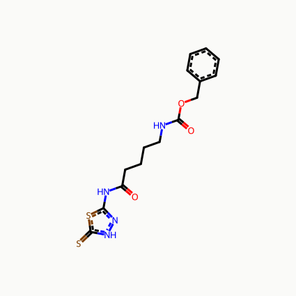 O=C(CCCCNC(=O)OCc1ccccc1)Nc1n[nH]c(=S)s1